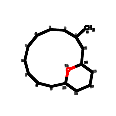 CC1CCCCCCCCC2CCCC(C1)O2